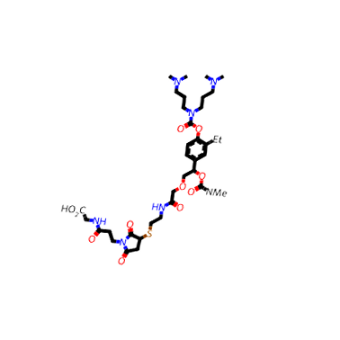 CCc1cc(C(COCC(=O)NCCSC2CC(=O)N(CCC(=O)NCC(=O)O)C2=O)OC(=O)NC)ccc1OC(=O)N(CCCN(C)C)CCCN(C)C